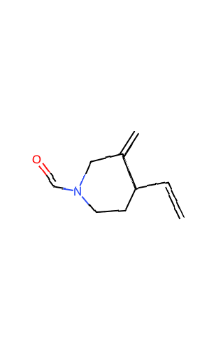 C=CC1CCN(C=O)CC1=C